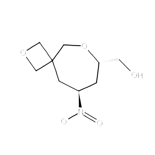 O=[N+]([O-])[C@@H]1C[C@@H](CO)OCC2(COC2)C1